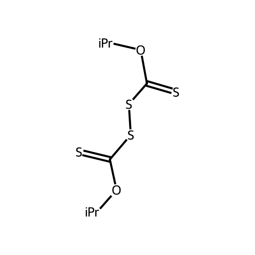 CC(C)OC(=S)SSC(=S)OC(C)C